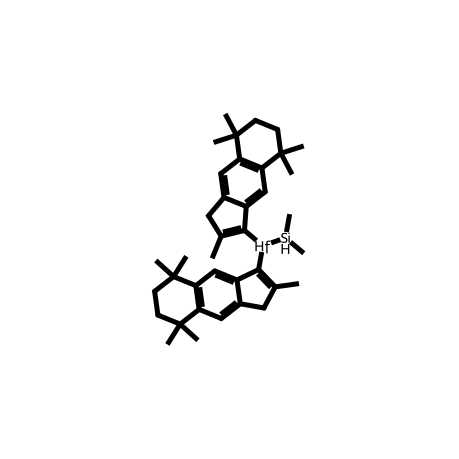 CC1=[C]([Hf]([C]2=C(C)Cc3cc4c(cc32)C(C)(C)CCC4(C)C)[SiH](C)C)c2cc3c(cc2C1)C(C)(C)CCC3(C)C